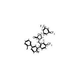 Cc1ccccc1-c1ccc(F)c(-c2ccc(C(F)(F)F)cc2CN2C(=O)O[C@H](c3cc(C(F)(F)F)cc(C(F)(F)F)c3)[C@@H]2C)c1